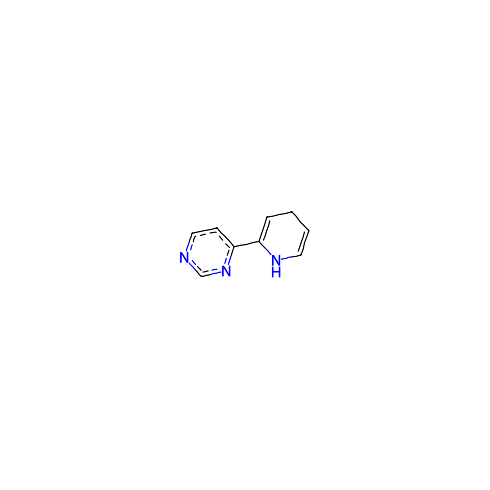 C1=CNC(c2ccncn2)=CC1